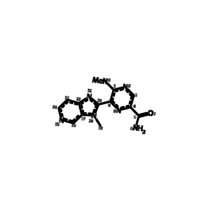 CNc1ncc(C(N)=O)nc1-c1nc2ccncc2n1C